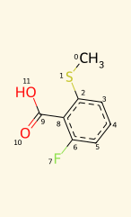 CSc1cccc(F)c1C(=O)O